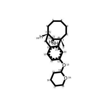 C[C@@]12CCCCC[C@@H](Cc3ccc(OC4CCCCO4)cc31)[C@@H]2N